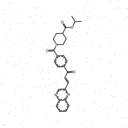 CC(C)OC(=O)C1CCN(C(=O)c2ccc(C(=O)/C=C/c3cnc4ccccc4n3)cc2)CC1